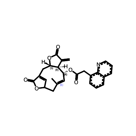 C=C1C(=O)O[C@H]2CC3=CC(C/C(C)=C/[C@@H](OC(=O)Cc4cccc5cccnc45)[C@H]12)OC3=O